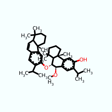 CO[C@@H]1c2cc(C(C)C)c(O)cc2[C@@]2(C)CCCC(C)(C)C2[C@H]1Oc1cc2c(cc1C(C)C)C=CC1C(C)(C)CCC[C@]21C